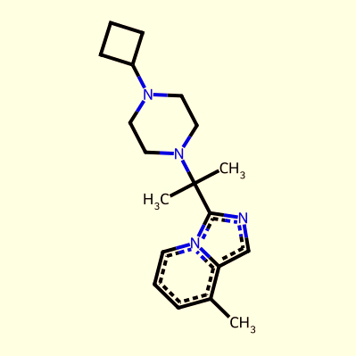 Cc1cccn2c(C(C)(C)N3CCN(C4CCC4)CC3)ncc12